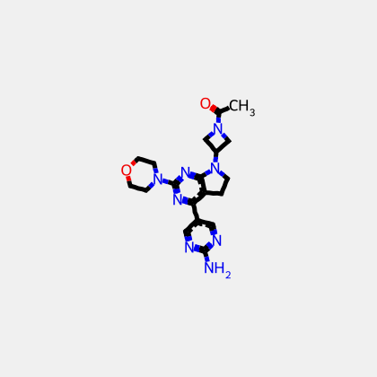 CC(=O)N1CC(N2CCc3c(-c4cnc(N)nc4)nc(N4CCOCC4)nc32)C1